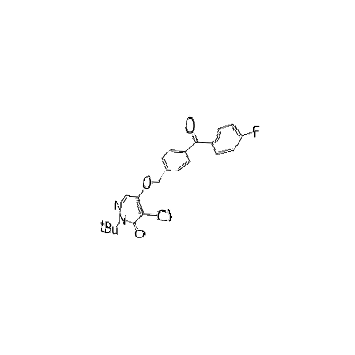 CC(C)(C)n1ncc(OCc2ccc(C(=O)c3ccc(F)cc3)cc2)c(Cl)c1=O